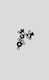 CC(C)(C)C(=O)N1C[C@H](S(=O)(=O)c2ccc(Cl)cc2Cl)C[C@@H]1OC(=O)NC1(C#N)CC1